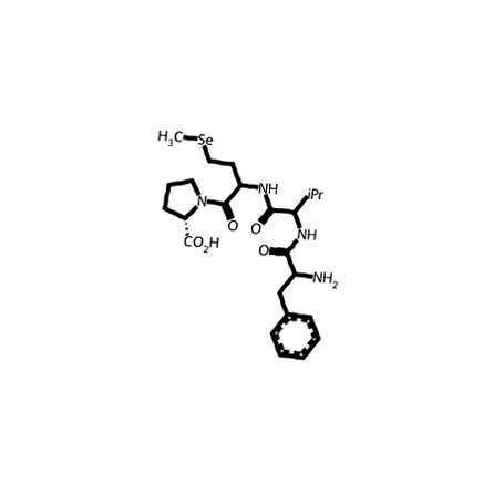 C[Se]CCC(NC(=O)C(NC(=O)C(N)Cc1ccccc1)C(C)C)C(=O)N1CCC[C@H]1C(=O)O